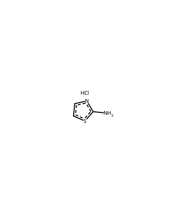 Cl.Nc1nccs1